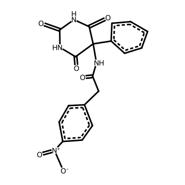 O=C(Cc1ccc([N+](=O)[O-])cc1)NC1(c2ccccc2)C(=O)NC(=O)NC1=O